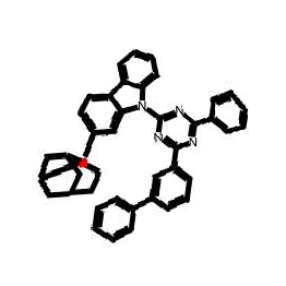 c1ccc(-c2cccc(-c3nc(-c4ccccc4)nc(-n4c5ccccc5c5ccc(N6C7CC8CC(C7)CC6C8)cc54)n3)c2)cc1